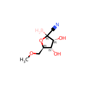 B[C@]1(C#N)O[C@H](COC)[C@@H](O)[C@H]1O